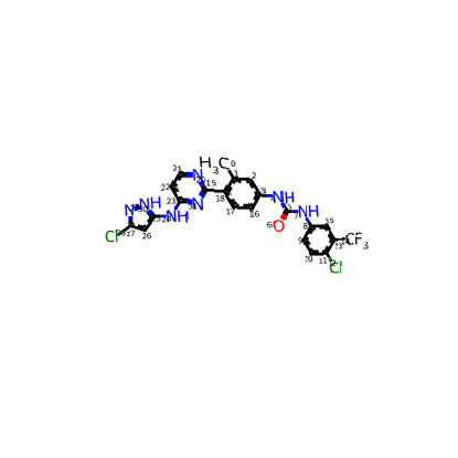 Cc1cc(NC(=O)Nc2ccc(Cl)c(C(F)(F)F)c2)ccc1-c1nccc(Nc2cc(Cl)n[nH]2)n1